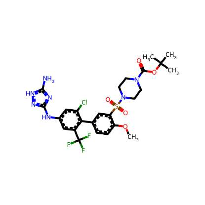 COc1ccc(-c2c(Cl)cc(Nc3n[nH]c(N)n3)cc2C(F)(F)F)cc1S(=O)(=O)N1CCN(C(=O)OC(C)(C)C)CC1